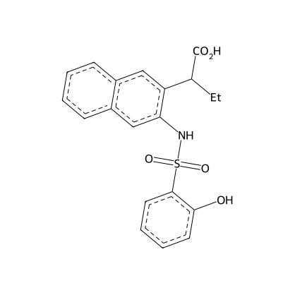 CCC(C(=O)O)c1cc2ccccc2cc1NS(=O)(=O)c1ccccc1O